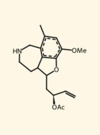 C=C[C@H](CC1Oc2c(OC)cc(C)c3c2C1CCNC3)OC(C)=O